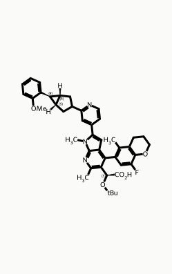 COc1ccccc1[C@H]1[C@@H]2CC(c3cc(-c4cc5c(-c6cc(F)c7c(c6C)CCCO7)c([C@H](OC(C)(C)C)C(=O)O)c(C)nc5n4C)ccn3)C[C@@H]21